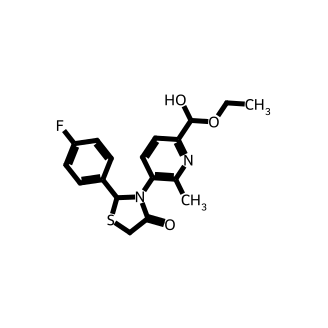 CCOC(O)c1ccc(N2C(=O)CSC2c2ccc(F)cc2)c(C)n1